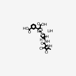 Cc1[nH]c(C(=O)N[C@H]2[C@@H]3CN(c4nc(-c5cccc(C(=O)O)c5)c(C(=O)O)s4)C[C@@H]32)c(Cl)c1Cl.[LiH]